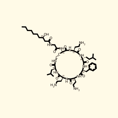 CCCCCCC[C@@H](O)CC(=O)NCC(=O)N[C@H]1CCNC(=O)[C@H](CC(C)C)NC(=O)[C@H](CCN)NC(=O)[C@H](CCN)NC(=O)[C@H](Cc2ccccc2)NC(=O)[C@@H](CCC(C)C)NC(=O)[C@H](CCN)NC1=O